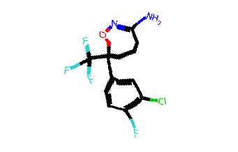 NC1=NOC(c2ccc(F)c(Cl)c2)(C(F)(F)F)C1